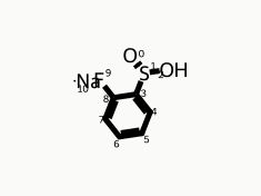 O=S(O)c1ccccc1F.[Na]